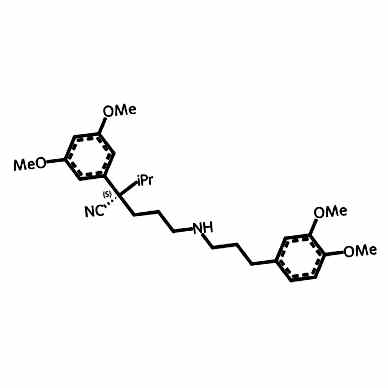 COc1cc(OC)cc([C@](C#N)(CCCNCCCc2ccc(OC)c(OC)c2)C(C)C)c1